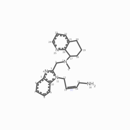 CN(Cc1nc2ccccc2n1C/C=C\CN)C1CCCc2cccnc21